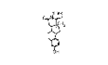 CCCCCCN1C(=O)CC2C3CCc4cc(O)ccc4C3CC[C@]2(C)C1=O